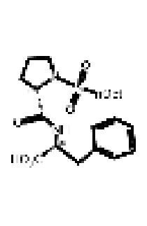 CCCCCCCCS(=O)(=O)N1CCC[C@H]1C(=O)N[C@@H](Cc1ccccc1)C(=O)O